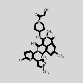 Cc1cc(C(C)Nc2ccc(Cl)nc2-c2cnn(C)c2)c2c(C=N)c(NC3CCN(C(=O)CO)CC3)n(C)c(=O)c2c1